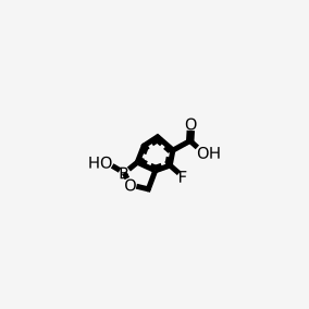 O=C(O)c1ccc2c(c1F)COB2O